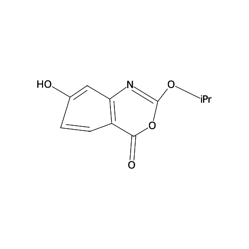 CC(C)Oc1nc2cc(O)ccc2c(=O)o1